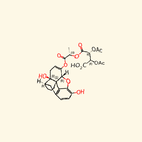 CC(=O)O[C@@H](C(=O)O)[C@@H](OC(C)=O)C(=O)O[C@@H](C)C(=O)OC1=CC[C@@]2(O)[C@@H]3CCC[C@@]24c2c(ccc(O)c2O[C@@H]14)C3